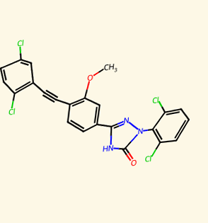 COc1cc(-c2nn(-c3c(Cl)cccc3Cl)c(=O)[nH]2)ccc1C#Cc1cc(Cl)ccc1Cl